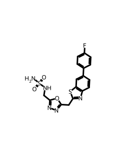 NS(=O)(=O)NCc1nnc(Cc2nc3ccc(-c4ccc(F)cc4)cc3s2)o1